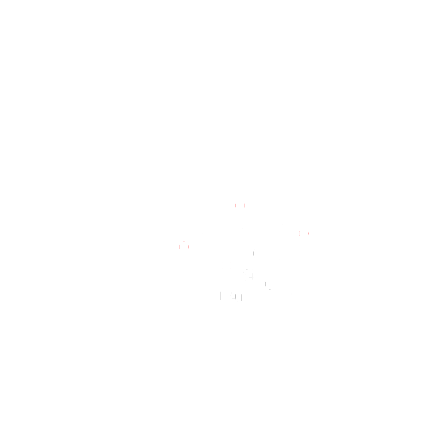 CC(C)(C)[Si](C)(C)OC(COCc1ccccc1)C(CCO)OCc1ccccc1